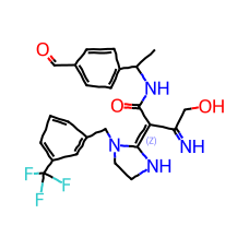 CC(NC(=O)/C(C(=N)CO)=C1/NCCN1Cc1cccc(C(F)(F)F)c1)c1ccc(C=O)cc1